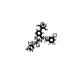 Cc1noc(C)c1-c1ccc2nc(C(=O)Nc3cnn(C)c3)nc(NCc3cccc(Cl)c3)c2c1